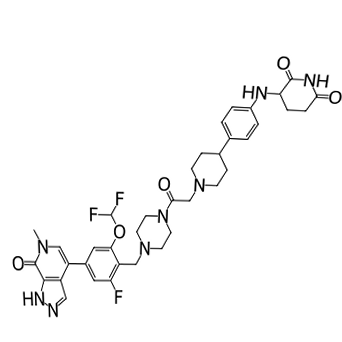 Cn1cc(-c2cc(F)c(CN3CCN(C(=O)CN4CCC(c5ccc(NC6CCC(=O)NC6=O)cc5)CC4)CC3)c(OC(F)F)c2)c2cn[nH]c2c1=O